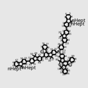 CCCCCCCC1(CCCCCCC)c2ccccc2-c2ccc(-c3ccc4c(c3)C(C)(C)c3cc(-c5ccc(N(c6ccc7c(c6)C(C)(C)c6cc(-c8ccc9c(c8)C(C)(C)c8cc(-c%10ccc%11c(c%10)C(CCCCCCC)(CCCCCCC)c%10ccccc%10-%11)ccc8-9)c8oc9ccccc9c8c6-7)c6ccc7c(c6)C(C)(C)c6c8c(c9oc%10ccccc%10c9c6-7)-c6ccccc6C8(C)C)cc5)ccc3-4)cc21